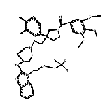 COc1cc(C(=O)N2CCC(CCN3CCC(Nc4nc5ccccc5n4CCOCC(F)(F)F)CC3)(c3ccc(C)c(C)c3)C2)cc(OC)c1OC